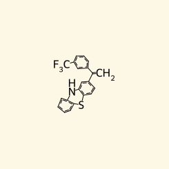 C=C(c1cccc(C(F)(F)F)c1)c1ccc2c(c1)Nc1ccccc1S2